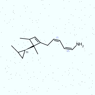 CC1C[C@@H]1C1(C)C(C/C=C\C=C/N)=CC1C